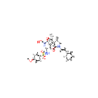 COc1ccc(S(=O)(=O)NCCC(C(=O)NO)C2(CC(C)C)CCN(CCc3ccccc3)C2=O)cc1